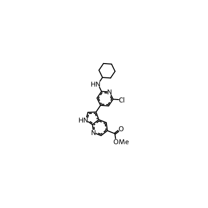 COC(=O)c1cnc2[nH]cc(-c3cc(Cl)nc(NC4CCCCC4)c3)c2c1